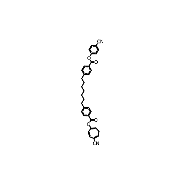 N#CC1=CCC=C(OC(=O)c2ccc(CCCCCCCc3ccc(C(=O)Oc4ccc(C#N)cc4)cc3)cc2)C=C1